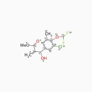 C=C(C(=O)OC)C(O)c1cc(C)c(OC(F)F)c(Cl)c1